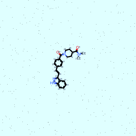 CCN(CC)C(=O)C1CCN(C(=O)c2ccc(/C=C/c3n[nH]c4ccccc34)cc2)CC1